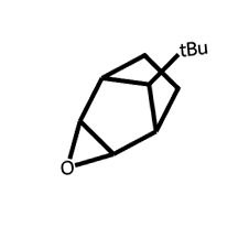 CC(C)(C)C1C2CCC1C1OC21